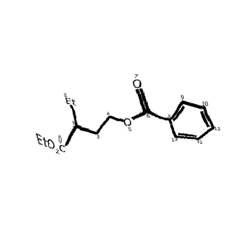 CCOC(=O)C(CC)CCOC(=O)c1ccccc1